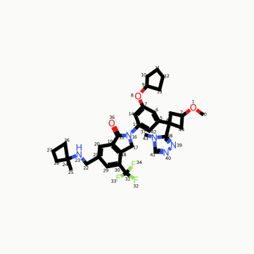 COC1CC(c2cc(OC3CCCC3)cc(N3Cc4c(cc(CNC5(C)CCC5)cc4C(F)(F)F)C3=O)c2)(c2nncn2C)C1